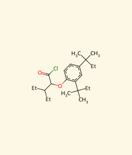 CCC(CC)C(Oc1ccc(C(C)(C)CC)cc1C(C)(C)CC)C(=O)Cl